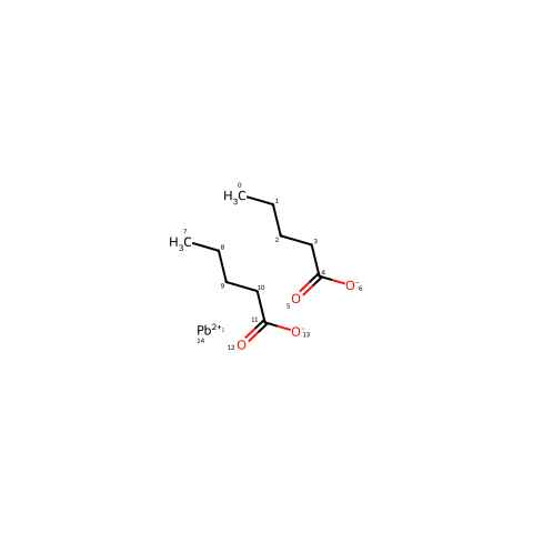 CCCCC(=O)[O-].CCCCC(=O)[O-].[Pb+2]